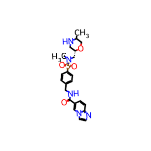 CC1CO[C@H](CN(C)S(=O)(=O)c2ccc(CNC(=O)c3ccc4nccn4c3)cc2)CN1